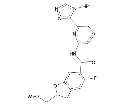 COCC1Cc2cc(F)c(C(=O)Nc3cccc(-c4nncn4C(C)C)n3)cc2O1